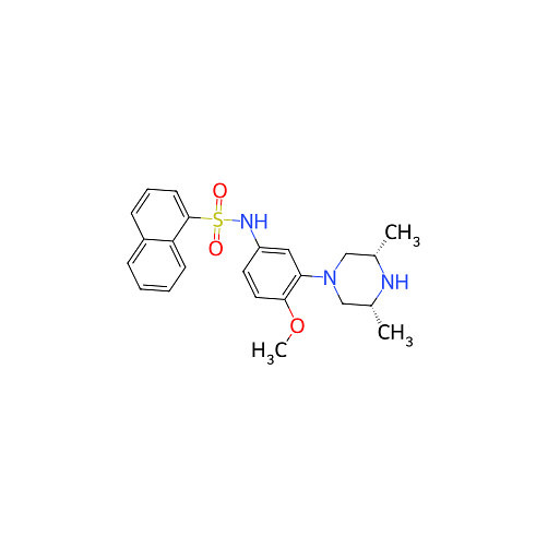 COc1ccc(NS(=O)(=O)c2cccc3ccccc23)cc1N1C[C@@H](C)N[C@@H](C)C1